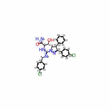 NC(=O)C(CO)N/C(=N\Cc1ccc(Cl)cc1)N1CC(c2ccccc2)C(c2ccc(Cl)cc2)=N1